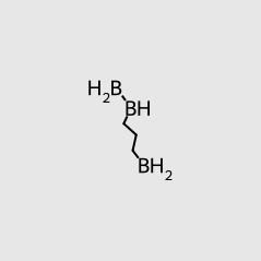 BBCCCB